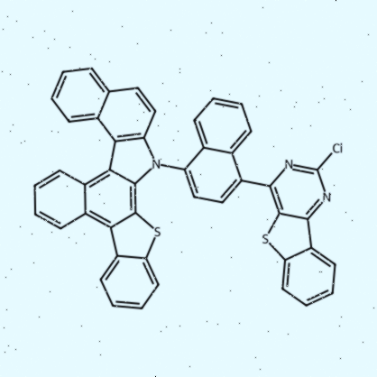 Clc1nc(-c2ccc(-n3c4ccc5ccccc5c4c4c5ccccc5c5c6ccccc6sc5c43)c3ccccc23)c2sc3ccccc3c2n1